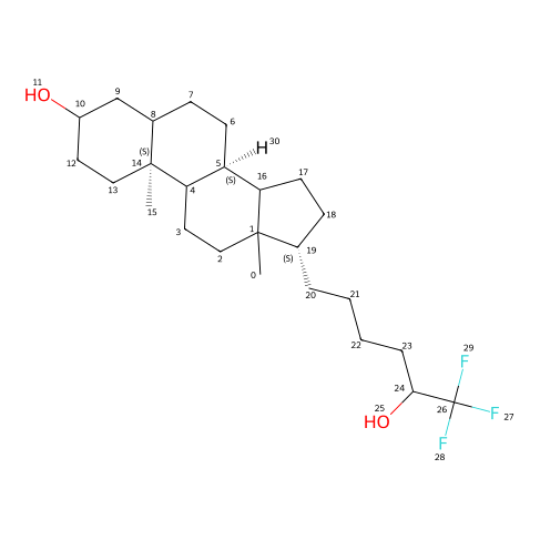 CC12CCC3[C@@H](CCC4CC(O)CC[C@@]43C)C1CC[C@@H]2CCCCC(O)C(F)(F)F